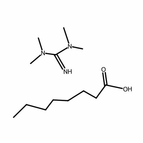 CCCCCCCC(=O)O.CN(C)C(=N)N(C)C